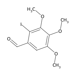 COc1cc(C=O)c(I)c(OC)c1OC